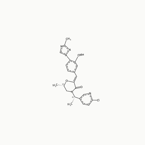 COc1cc(C=C2O[C@@H](C)CN([C@@H](C)c3ccc(Cl)nc3)C2=O)ccc1-n1cnc(C)n1